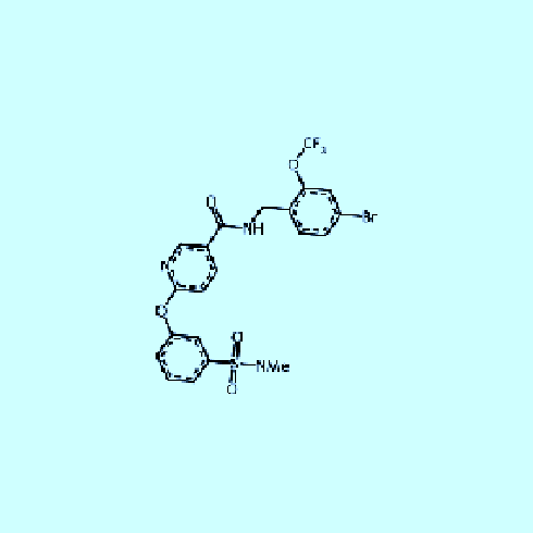 CNS(=O)(=O)c1cccc(Oc2ccc(C(=O)NCc3ccc(Br)cc3OC(F)(F)F)cn2)c1